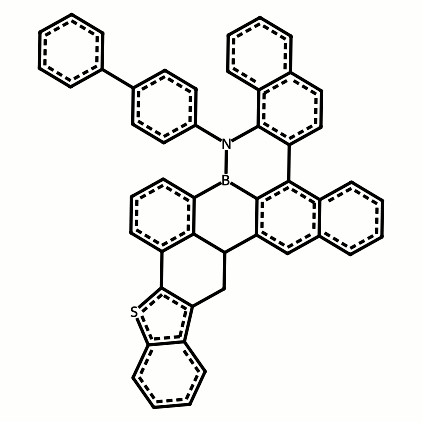 c1ccc(-c2ccc(N3B4c5cccc6c5C(Cc5c-6sc6ccccc56)c5cc6ccccc6c(c54)-c4ccc5ccccc5c43)cc2)cc1